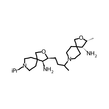 CC(C)N1CCC2(CC1)CO[C@@H](CCC(C)N1CCC3(CC1)CO[C@H](C)[C@@H]3N)[C@H]2N